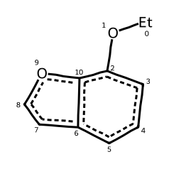 CCOc1cccc2ccoc12